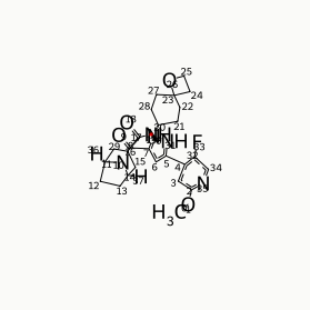 COc1cc(-c2cc(C(=O)N3[C@@H]4CC[C@H]3C[C@H](C(=O)NC3CCC5(CCO5)CC3)C4)n[nH]2)c(F)cn1